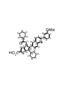 COc1cccc(-c2ccc3cc(-c4c(C5CCCCC5)c5sc(C(=O)O)cc5n4CC(=O)N4CCCCC4)ccc3n2)c1